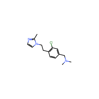 Cc1nccn1CCc1ccc(CN(C)C)cc1Cl